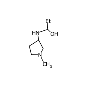 CCC(O)NC1CCN(C)C1